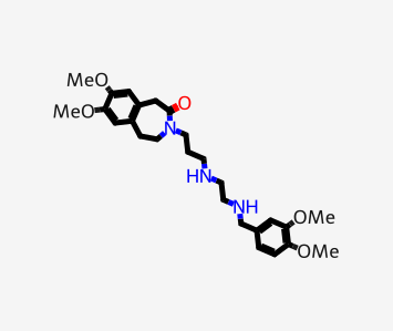 COc1ccc(CNCCNCCCN2CCc3cc(OC)c(OC)cc3CC2=O)cc1OC